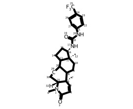 CN1C(=O)C=C[C@]2(C)C3CC[C@@]4(C)C(CC[C@@H]4NC(=O)Nc4ccc(C(F)(F)F)cc4)C3CC[C@@H]12